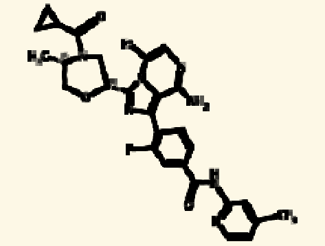 CCc1cnc(N)c2c(-c3ccc(C(=O)Nc4cc(C(F)(F)F)ccn4)cc3F)nc([C@H]3CN(C(=O)C4CC4)[C@@H](C)CO3)n12